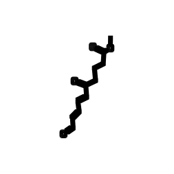 COC(=O)CCCC(=O)C=CC=CC=O